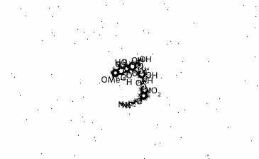 COc1cccc2c1C(=O)c1c(O)c3c(c(O)c1C2=O)C[C@@](O)(C(=O)CO)C[C@@H]3O[C@H]1C[C@H](NC(=O)OCc2cc(OCCCN=[N+]=[N-])ccc2[N+](=O)[O-])[C@H](O)[C@H](C)O1